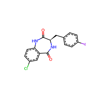 O=C1N[C@H](Cc2ccc(I)cc2)C(=O)Nc2ccc(Cl)cc21